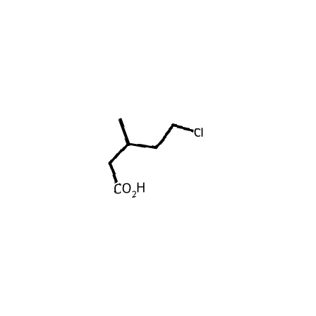 CC(CCCl)CC(=O)O